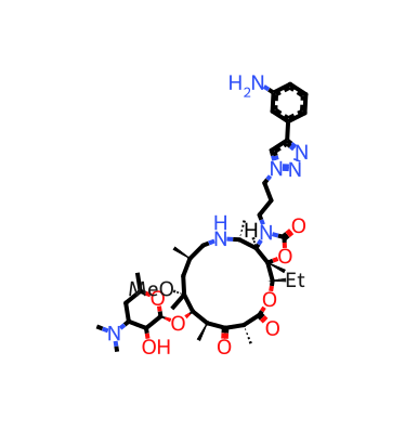 CC[C@H]1OC(=O)[C@H](C)C(=O)[C@@H](C)[C@@H](O[C@@H]2OC(C)CC(N(C)C)C2O)[C@](C)(OC)C[C@@H](C)CN[C@H](C)[C@H]2N(CCCn3cc(-c4cccc(N)c4)nn3)C(=O)O[C@]12C